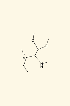 CC[C@H](C)C(NC)C(OC)OC